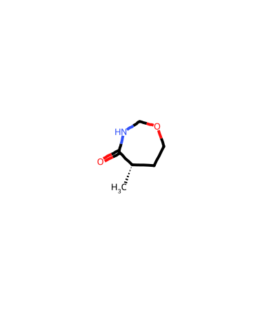 C[C@H]1CCOCNC1=O